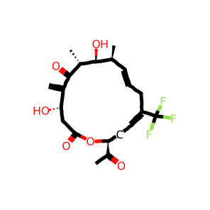 C=C1C(=O)[C@H](C)[C@@H](O)[C@@H](C)/C=C/C/C(C(F)(F)F)=C\C[C@@H](C(C)=O)OC(=O)C[C@@H]1O